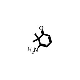 CC1(C)C(=O)C=CC=C1N